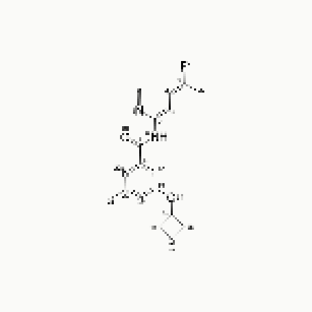 C=N/C(=C\C=C(/C)F)NC(=O)c1cc(OC2CSC2)cc(C)n1